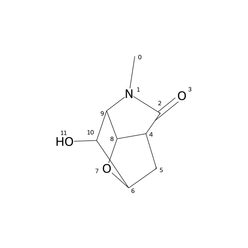 CN1C(=O)C2CC3OC2C1C3O